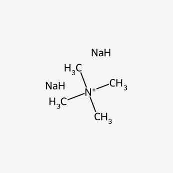 C[N+](C)(C)C.[NaH].[NaH]